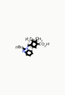 CCCCc1nc2ccccc2n1Cc1ccc(C(=O)O)c(C)c1C